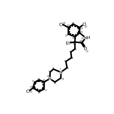 CCC1(CCCCCN2CCN(c3ccc(Cl)cc3)CC2)C(=O)Nc2c(Cl)cc(Cl)cc21